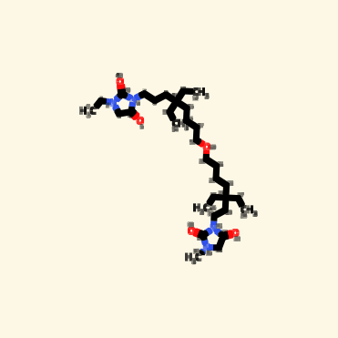 CCN1CC(=O)N(CCCC(CC)(CC)CCCCOCCCCC(CC)(CC)CCN2C(=O)CN(C)C2=O)C1=O